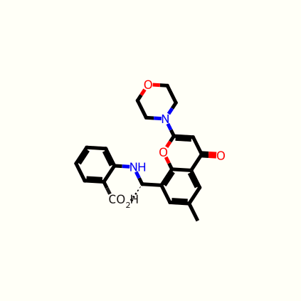 Cc1cc([C@H](C)Nc2ccccc2C(=O)O)c2oc(N3CCOCC3)cc(=O)c2c1